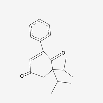 CC(C)C1(C(C)C)CC(=O)C=C(c2ccccc2)C1=O